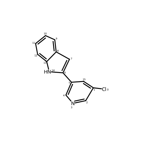 Clc1cncc(-c2cc3ccccc3[nH]2)c1